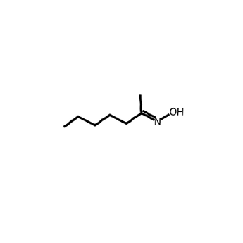 CCCCC/C(C)=N/O